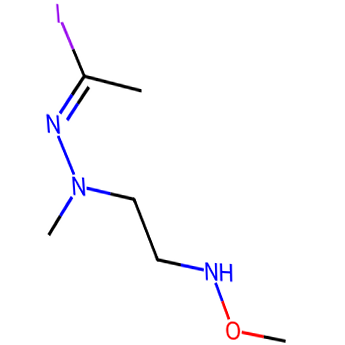 CONCCN(C)/N=C(\C)I